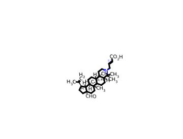 C=C(C)[C@@H]1CC[C@]2(C=O)CC[C@]3(C)[C@H](CC[C@@H]4[C@@]5(C)CCN(C/C=C/C(=O)O)C(C)(C)[C@@H]5CC[C@]43C)[C@@H]12